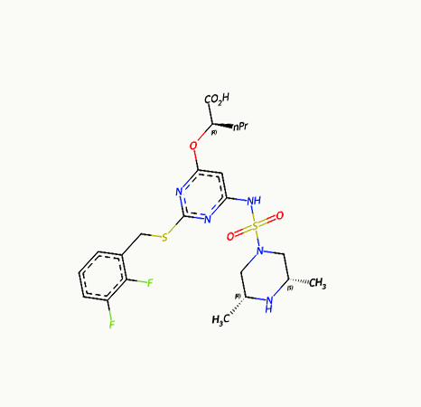 CCC[C@@H](Oc1cc(NS(=O)(=O)N2C[C@@H](C)N[C@@H](C)C2)nc(SCc2cccc(F)c2F)n1)C(=O)O